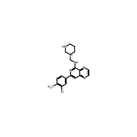 Cc1ccc(-c2cc3nccnc3c(NC[C@@H]3CCCNC3)n2)cc1Cl